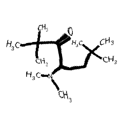 CN(C)C(CC(C)(C)C)C(=O)C(C)(C)C